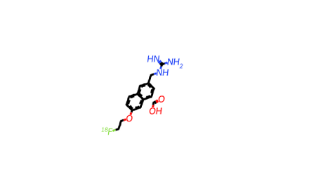 N=C(N)NCc1ccc2cc(OCC[18F])ccc2c1.O=CO